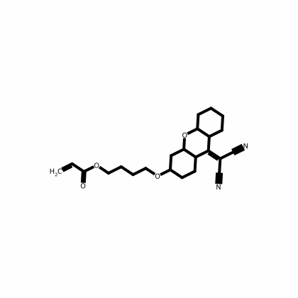 C=CC(=O)OCCCCOC1CCC2C(=C(C#N)C#N)C3CCCCC3OC2C1